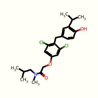 CC(C)CN(C)C(=O)COc1cc(Cl)c(Cc2ccc(O)c(C(C)C)c2)c(Cl)c1